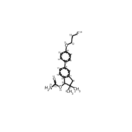 CC1(C)Cc2cc(-c3ccc(OCCF)cc3)ccc2C1OC(N)=O